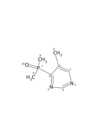 Cc1cncnc1P(C)(C)=O